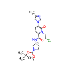 Cc1cn(-c2ccc(C(=O)N[C@@H]3CCN(C(=O)OC(C)(C)C)C3)n(CCCl)c2=O)cn1